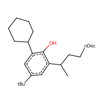 CCCCCCCCCCCCC(C)c1cc(C(C)(C)C)cc(C2CCCCC2)c1O